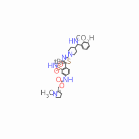 CN1CCC[C@@H]1COC(=O)Nc1ccc(-c2cnc(N3CCC(C(NC(=O)O)c4ccccc4)CC3)s2)c(S(=O)(=O)NC(C)(C)C)c1